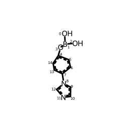 OB(O)Oc1ccc(-n2ccnc2)cc1